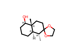 C[C@@H]1[C@H]2CCC[C@@H](O)[C@]2(C)CCC12OCCO2